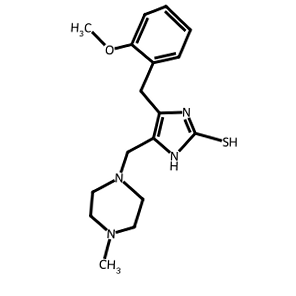 COc1ccccc1Cc1nc(S)[nH]c1CN1CCN(C)CC1